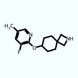 Cc1cnc(OC2CCC3(CC2)CNC3)c(F)c1